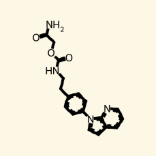 NC(=O)COC(=O)NCCc1ccc(-n2ccc3cccnc32)cc1